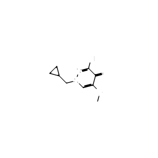 COc1cn(CC2CC2)nc(Cl)c1=O